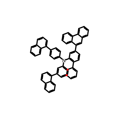 c1ccc(-c2ccc(-c3cc4ccccc4c4ccccc34)cc2N(c2ccc(-c3cccc4ccccc34)cc2)c2cccc(-c3cccc4ccccc34)c2)cc1